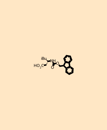 CC[C@H](C)[C@@H](CC(=O)O)NC(=O)OCC1c2ccccc2-c2ccccc21